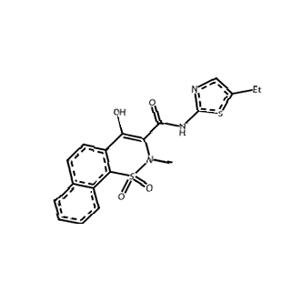 CCc1cnc(NC(=O)C2=C(O)c3ccc4ccccc4c3S(=O)(=O)N2C)s1